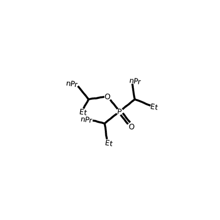 CCCC(CC)OP(=O)(C(CC)CCC)C(CC)CCC